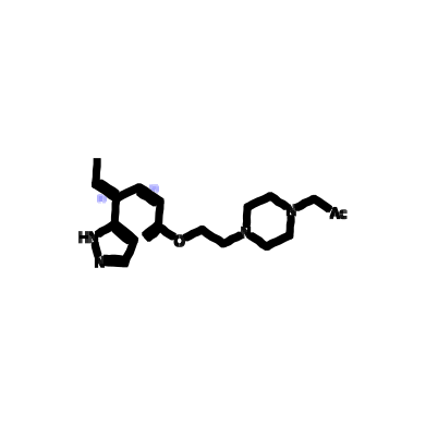 C=C(/C=C\C(=C/C)c1ccn[nH]1)OCCN1CCN(CC(C)=O)CC1